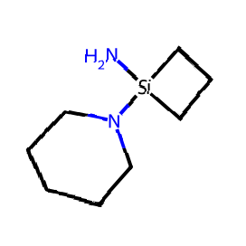 N[Si]1(N2CCCCC2)CCC1